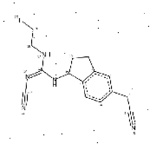 N#CCc1ccc2c(c1)CCC2N/C(=N\C#N)NCCF